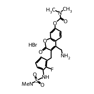 Br.CNS(=O)(=O)Nc1cccc(Cc2c(CN)c3ccc(OC(=O)N(C)C)cc3oc2=O)c1F